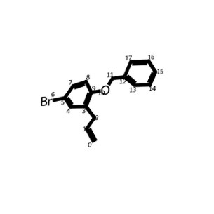 C=CCc1cc(Br)ccc1OCc1ccccc1